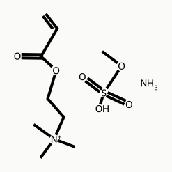 C=CC(=O)OCC[N+](C)(C)C.COS(=O)(=O)O.N